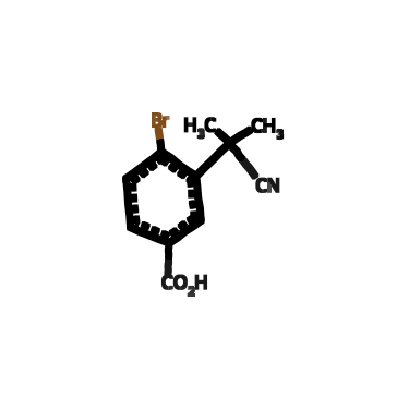 CC(C)(C#N)c1cc(C(=O)O)ccc1Br